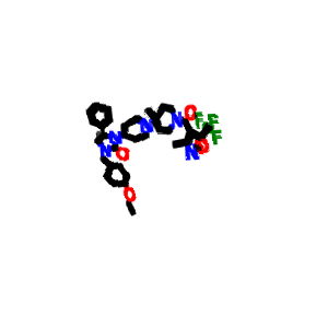 CCOC1CCC(CN2C[C@@H](c3ccccc3)N(C3CCN(C4(C)CCN(C(=O)c5c(C)noc5C(F)(F)F)CC4)CC3)C2=O)CC1